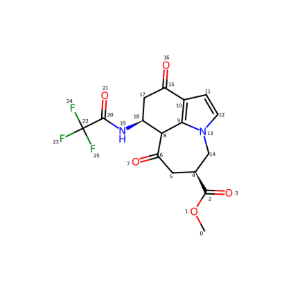 COC(=O)[C@H]1CC(=O)C2c3c(ccn3C1)C(=O)C[C@@H]2NC(=O)C(F)(F)F